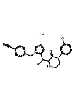 Cl.N#Cc1ccc(Cn2cncc2C(O)C2NCCN(c3cccc(Cl)c3)C2=O)cc1